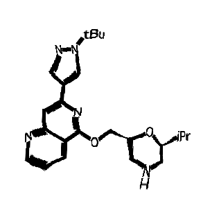 CC(C)[C@H]1CNC[C@@H](COc2nc(-c3cnn(C(C)(C)C)c3)cc3ncccc23)O1